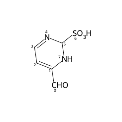 O=CC1=CC=NC(S(=O)(=O)O)N1